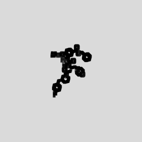 COc1ccc(C(=O)OCc2ccccc2)cc1NC(=O)N[C@@H](CC(=O)N1CCC[C@@H](Cc2ccc(F)cc2)C1)CN1CCOCC1